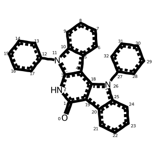 O=c1[nH]c2c(c3ccccc3n2-c2ccccc2)c2c1c1ccccc1n2-c1ccccc1